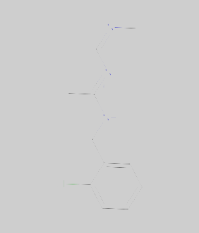 C/N=C\N=C(/C)NCc1ccccc1Cl